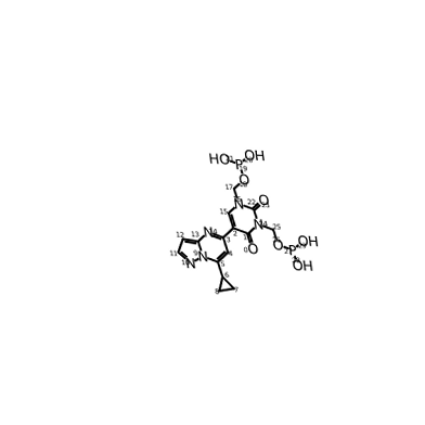 O=c1c(-c2cc(C3CC3)n3nccc3n2)cn(COP(O)O)c(=O)n1COP(O)O